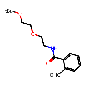 CC(C)(C)OCCOCCNC(=O)c1ccccc1C=O